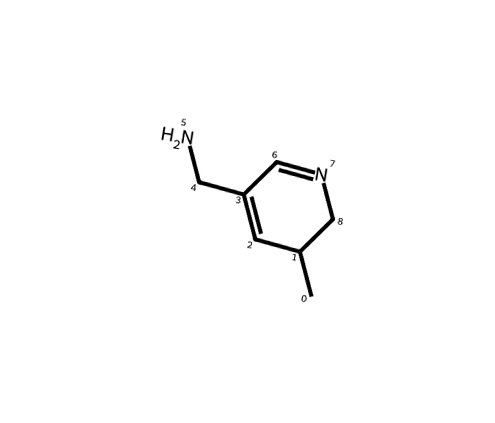 CC1C=C(CN)C=NC1